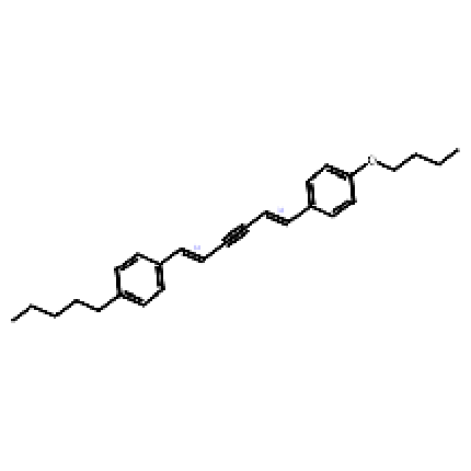 CCCCCc1ccc(/C=C/C#C/C=C/c2ccc(OCCCC)cc2)cc1